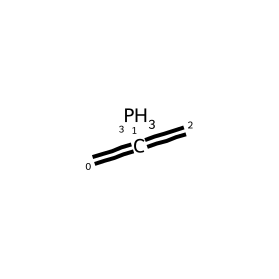 C=C=C.P